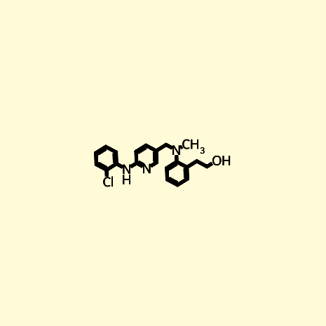 CN(Cc1ccc(Nc2ccccc2Cl)nc1)c1ccccc1CCO